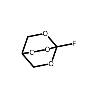 FC12OCC(CO1)CO2